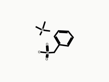 C[P+](C)(C)C.O=S(=O)([O-])Cc1ccccc1